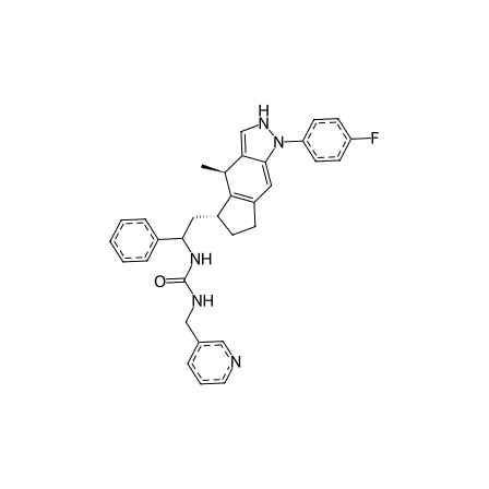 C[C@H]1C2=CNN(c3ccc(F)cc3)C2=CC2=C1[C@@H](CC(NC(=O)NCc1cccnc1)c1ccccc1)CC2